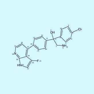 NCC(O)(c1ccc(Cl)cc1)c1ccc(-c2ccnc3[nH]cc(F)c23)cc1